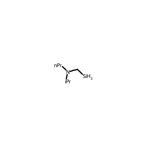 CCCN(C[SiH3])C(C)C